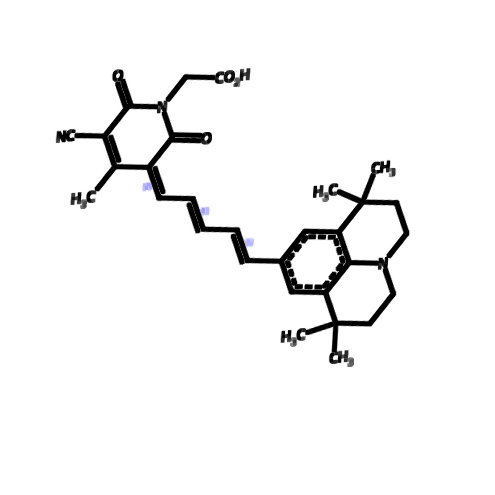 CC1=C(C#N)C(=O)N(CC(=O)O)C(=O)\C1=C/C=C/C=C/c1cc2c3c(c1)C(C)(C)CCN3CCC2(C)C